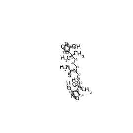 CC(C)(CCCN(CCCC(C)(C)c1conc1O)C(N)=S)c1conc1O